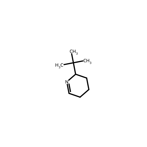 CC(C)(C)C1CCCC=N1